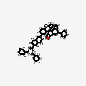 c1ccc(-c2nc(-c3ccccc3)nc(-c3ccc4cc(-c5ccc6c(c5)C5(c7ccccc7O6)c6ccccc6-c6cc(-c7ccccc7)c7ccccc7c65)ccc4c3)n2)cc1